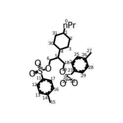 CCCC1CCC(C(COS(=O)(=O)c2ccc(C)cc2)COS(=O)(=O)c2ccc(C)cc2)CC1